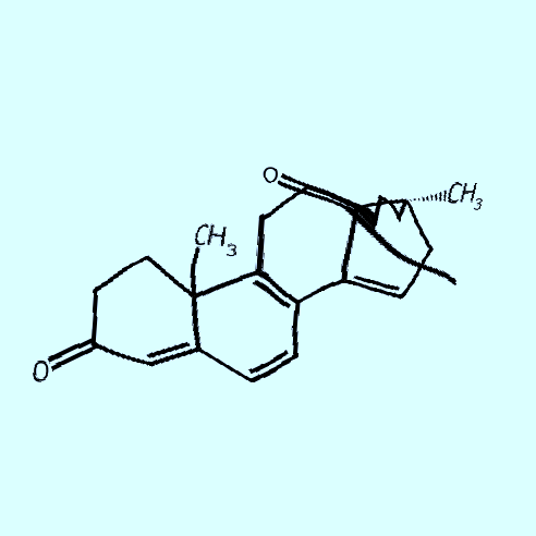 CC12CCC(=O)C=C1C=CC1=C2CCC23C(=O)CC[C@]2(C)CC=C13